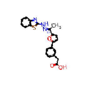 C/C(=N\Nc1nc2ccccc2s1)c1ccc(-c2cccc(CC(=O)O)c2)o1